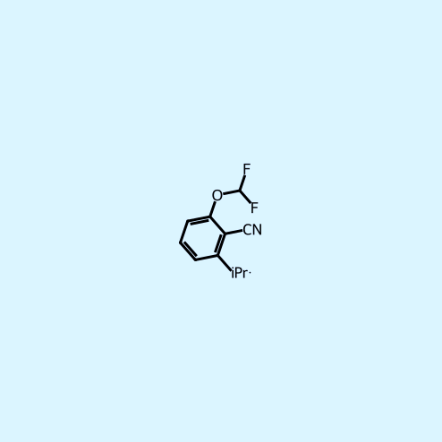 C[C](C)c1cccc(OC(F)F)c1C#N